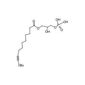 CCCCC#CCCCCCCCC(=O)OCC(O)COP(=O)(O)O